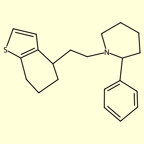 c1ccc(C2CCCCN2CCC2CCCc3sccc32)cc1